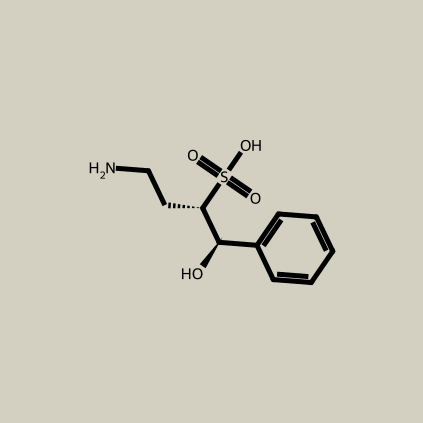 NCC[C@@H]([C@H](O)c1ccccc1)S(=O)(=O)O